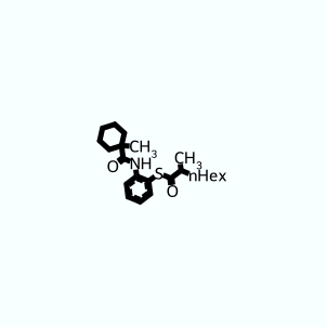 CCCCCCC(C)C(=O)Sc1ccccc1NC(=O)C1(C)CCCCC1